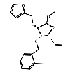 CC[C@H]1O[C@H](OC)[C@H](OCc2ccco2)[C@H]1OCc1ccccc1C